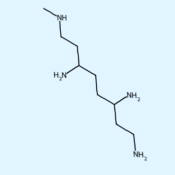 CNCCC(N)CCC(N)CCN